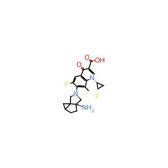 Cc1c(N2CC3(N)CCC4CC43C2)c(F)cc2c(=O)c(C(=O)O)cn([C@@H]3C[C@@H]3F)c12